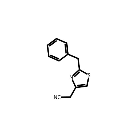 N#C[CH]c1csc(Cc2ccccc2)n1